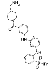 CC(C)S(=O)(=O)c1ccccc1Nc1ccnc(Nc2cccc(C(=O)N3CCC(CN)CC3)c2)n1